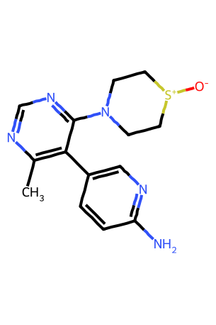 Cc1ncnc(N2CC[S+]([O-])CC2)c1-c1ccc(N)nc1